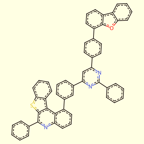 c1ccc(-c2nc(-c3ccc(-c4cccc5c4oc4ccccc45)cc3)cc(-c3cccc(-c4cccc5nc(-c6ccccc6)c6sc7ccccc7c6c45)c3)n2)cc1